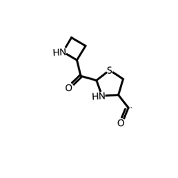 O=[C]C1CSC(C(=O)C2CCN2)N1